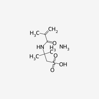 C=C(C)C(=O)NC(C)(C)CS(=O)(=O)O.N